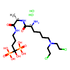 C[C@H](NC(=O)[C@@H](N)CCCCN(CCCl)CCCl)C(=O)NCCCC(O)(P(=O)(O)O)P(=O)(O)O.Cl.Cl